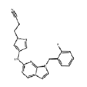 N#CCCn1cc(Nc2ncc3ccn(Cc4ccccc4F)c3n2)cn1